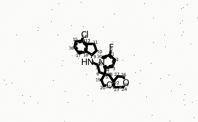 Fc1ccc(C2(CCN[C@H]3CCc4c(Cl)cccc43)CCOC3(CCOCC3)C2)nc1